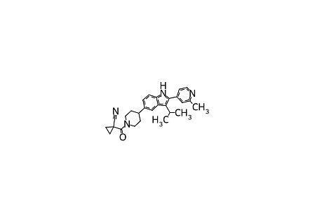 Cc1cc(-c2[nH]c3ccc(C4CCN(C(=O)C5(C#N)CC5)CC4)cc3c2C(C)C)ccn1